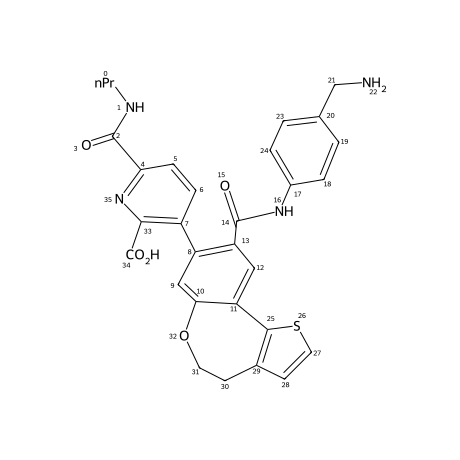 CCCNC(=O)c1ccc(-c2cc3c(cc2C(=O)Nc2ccc(CN)cc2)-c2sccc2CCO3)c(C(=O)O)n1